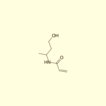 C=CC(=O)NC(C)CCO